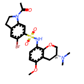 COc1ccc(NS(=O)(=O)c2cc3c(cc2Br)CCN3C(C)=O)c2c1C[C@@H](N(C)C)CO2